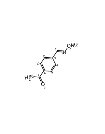 CON=Cc1ccc(C(N)=O)cc1